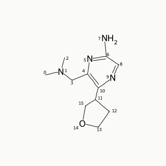 CN(C)Cc1nc(N)cnc1C1CCOC1